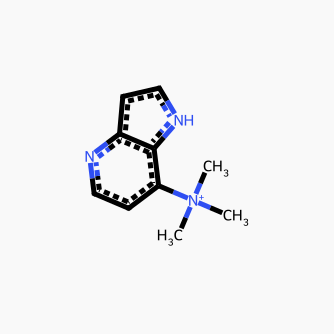 C[N+](C)(C)c1ccnc2cc[nH]c12